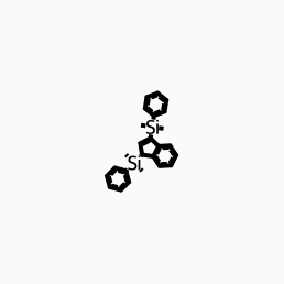 C[Si](C)(C1=CC([Si](C)(C)c2ccccc2)c2ccccc21)c1ccccc1